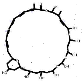 C\C1=C/C=C/C=C/C=C/C=C/CC2CC(O)CC(O)(CC(O)CC(O)CC(O)CC(O)CC(O)CC(O)CC(O)/C=C/C(C)C(C(C)C)OC1=O)O2